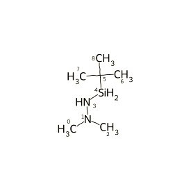 CN(C)N[SiH2]C(C)(C)C